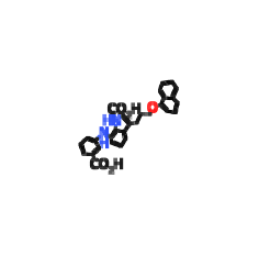 O=C(O)c1cccc(Nc2cccc3c(CCCOc4cccc5ccccc45)c(C(=O)O)[nH]c23)c1